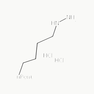 CCCCCCCCCNN.Cl.Cl